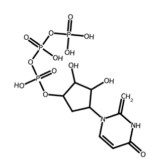 C=C1NC(=O)C=CN1C1CC(OP(=O)(O)OP(=O)(O)OP(=O)(O)O)C(O)C1O